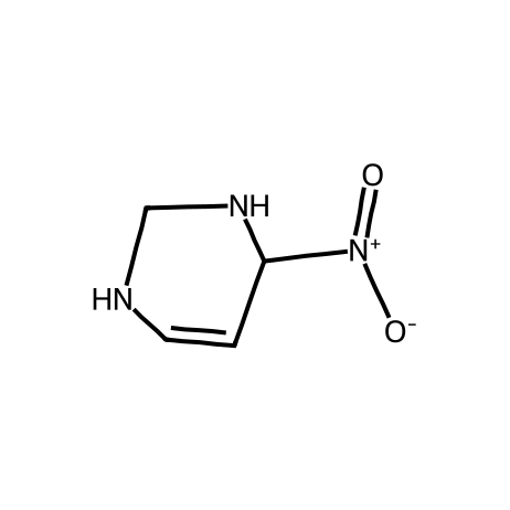 O=[N+]([O-])C1C=CNCN1